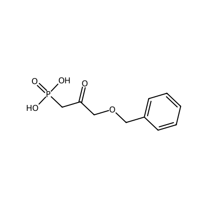 O=C(COCc1ccccc1)CP(=O)(O)O